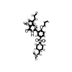 CCCOc1ccc(S(=O)(=O)N2CCC(CN(C)C)CC2)cc1-c1nc2c(CCC)cn(C)c2c(=O)[nH]1